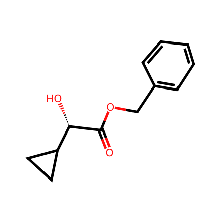 O=C(OCc1ccccc1)[C@@H](O)C1CC1